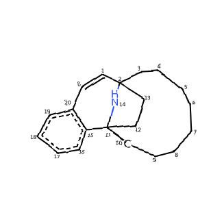 C1=CC23CCCCCCCCC(CC2)(N3)c2ccccc21